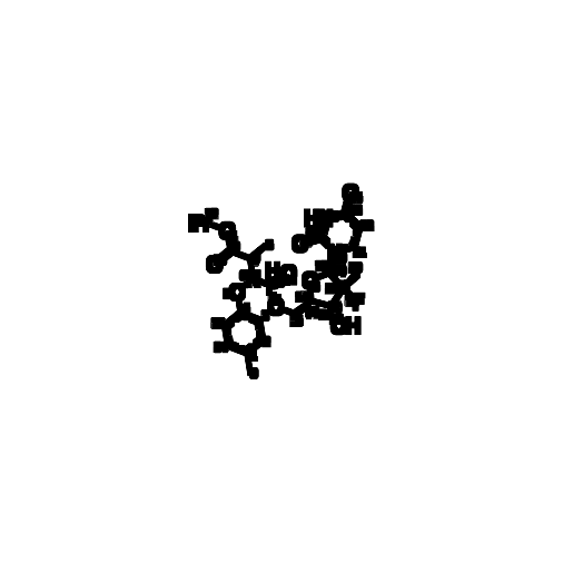 Cc1ccc(ON(C(C)C(=O)OC(C)C)[PH](=O)OC[C@H]2O[C@@H](n3ccc(=O)[nH]c3=O)[C@](C)(F)[C@@H]2O)cc1